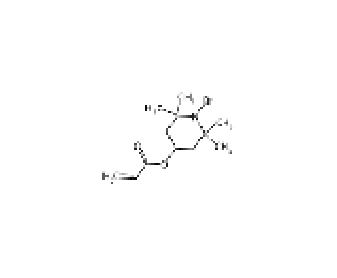 C=CC(=O)OC1CC(C)(C)N(Br)C(C)(C)C1